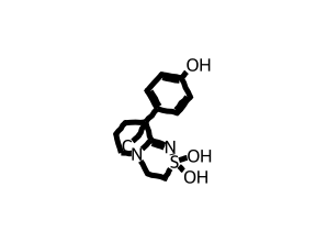 Oc1ccc(C23CCC(CC2)N2CCS(O)(O)N=C23)cc1